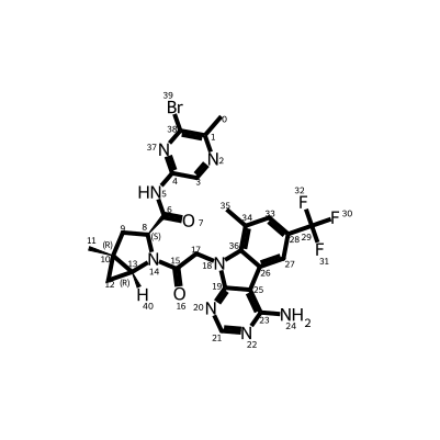 Cc1ncc(NC(=O)[C@@H]2C[C@@]3(C)C[C@H]3N2C(=O)Cn2c3ncnc(N)c3c3cc(C(F)(F)F)cc(C)c32)nc1Br